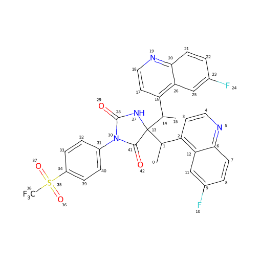 CC(c1ccnc2ccc(F)cc12)C1(C(C)c2ccnc3ccc(F)cc23)NC(=O)N(c2ccc(S(=O)(=O)C(F)(F)F)cc2)C1=O